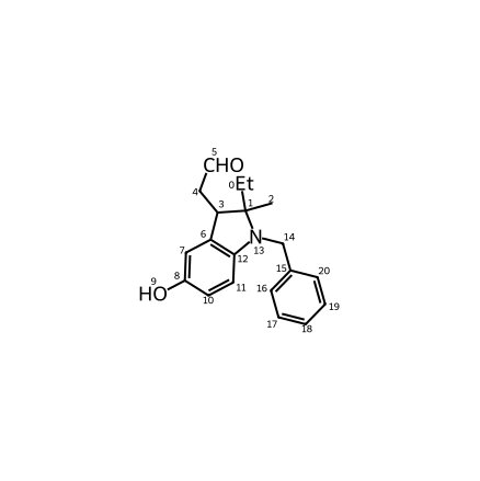 CCC1(C)C(CC=O)c2cc(O)ccc2N1Cc1ccccc1